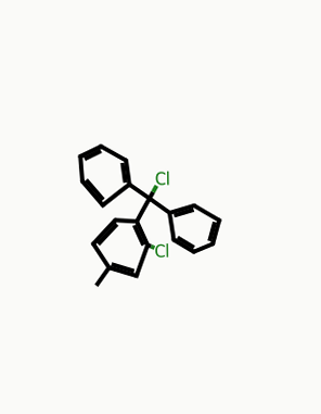 Cc1ccc(C(Cl)(c2ccccc2)c2ccccc2)c(Cl)c1